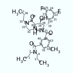 CCCN(CCC)C(=O)c1cc(C)cc(C(=O)N[C@@H](Cc2cc(F)cc(F)c2)[C@H](O)C2NCCN(CCC)C2=O)c1